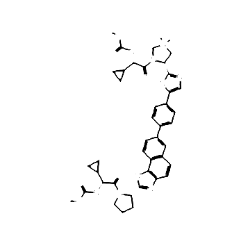 COC(=O)N[C@H](C(=O)N1C[Si](C)(C)C[C@H]1c1ncc(-c2ccc(-c3ccc4c(ccc5nc([C@@H]6CCCN6C(=O)[C@@H](NC(=O)OC)C6CC6)[nH]c54)c3)cc2)[nH]1)C1CC1